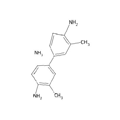 Cc1cc(-c2ccc(N)c(C)c2)ccc1N.N